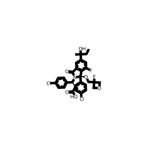 CCC(C)(O)c1cc(F)c2c(c1)C(=O)N([C@@H](CC(=O)O)c1ccc(Cl)cc1)[C@@]2(OCC1(F)COC1)c1ccc(Cl)cc1